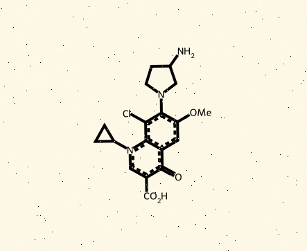 COc1cc2c(=O)c(C(=O)O)cn(C3CC3)c2c(Cl)c1N1CCC(N)C1